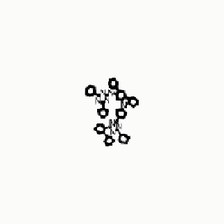 c1ccc(-c2nc(-c3ccc(-n4c5ccccc5c5cc6c7ccccc7n(-c7nc(-c8ccccc8)nc(-c8ccccc8)n7)c6cc54)cc3)nc(-c3ccccc3-c3ccccc3)n2)cc1